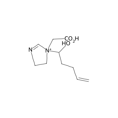 C=CCCC(O)[N+]1(CC(=O)O)C=NCC1